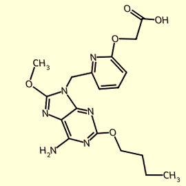 CCCCOc1nc(N)c2nc(OC)n(Cc3cccc(OCC(=O)O)n3)c2n1